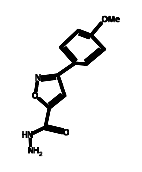 COc1ccc(-c2cc(C(=O)NN)on2)cc1